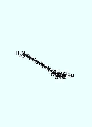 CC(C)(C)S(=O)(=O)c1ncc2c(n1)CCN(CCC(=O)NCCOCCOCCOCCOCCOCCOCCOCCOCCC(N)=O)C2=O